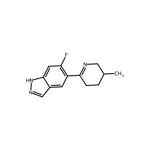 CC1CCC(c2cc3cn[nH]c3cc2F)=NC1